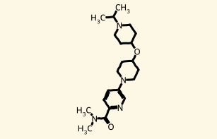 CC(C)N1CCC(OC2CCN(c3ccc(C(=O)N(C)C)nc3)CC2)CC1